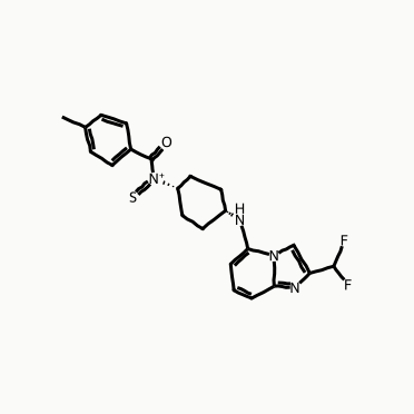 Cc1ccc(C(=O)[N+](=S)[C@H]2CC[C@@H](Nc3cccc4nc(C(F)F)cn34)CC2)cc1